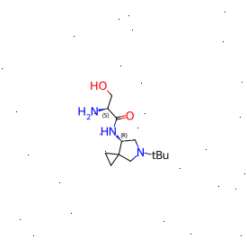 CC(C)(C)N1C[C@H](NC(=O)[C@@H](N)CO)C2(CC2)C1